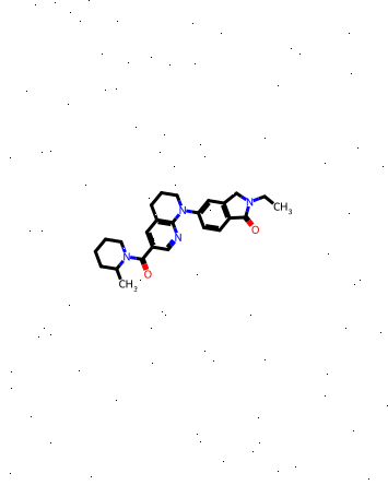 CCN1Cc2cc(N3CCCc4cc(C(=O)N5CCCCC5C)cnc43)ccc2C1=O